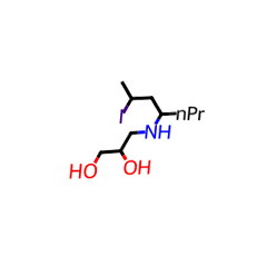 CCCC(CC(C)I)NCC(O)CO